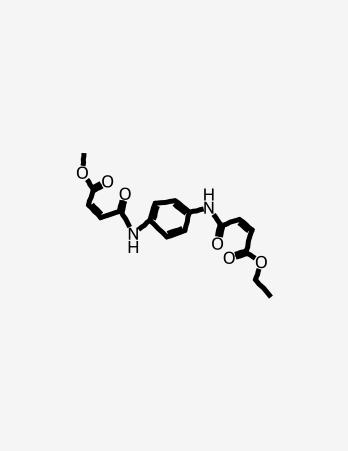 CCOC(=O)/C=C\C(=O)Nc1ccc(NC(=O)/C=C\C(=O)OC)cc1